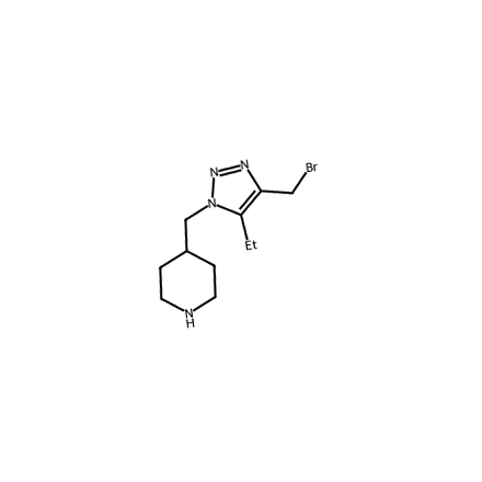 CCc1c(CBr)nnn1CC1CCNCC1